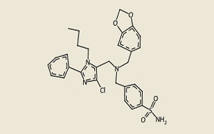 CCCCn1c(-c2ccccc2)nc(Cl)c1CN(Cc1ccc(S(N)(=O)=O)cc1)Cc1ccc2c(c1)OCO2